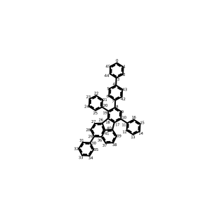 c1ccc(-c2ccc(-c3cc(-c4ccccc4)c4c(c3-c3ccccc3)-c3ccc(-c5ccccc5)c5cccc-4c35)cc2)cc1